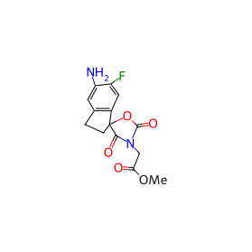 COC(=O)CN1C(=O)OC2(CCc3cc(N)c(F)cc32)C1=O